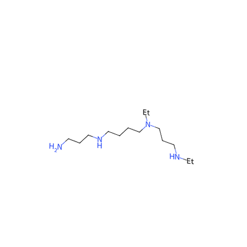 CCNCCCN(CC)CCCCNCCCN